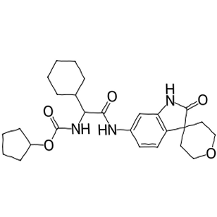 O=C(NC(C(=O)Nc1ccc2c(c1)NC(=O)C21CCOCC1)C1CCCCC1)OC1CCCC1